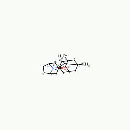 CC12CC3CC(C)(C1)CC(N1C4CCC1CC(=O)C4)(C3)C2